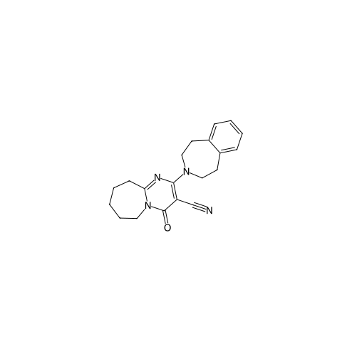 N#Cc1c(N2CCc3ccccc3CC2)nc2n(c1=O)CCCCC2